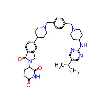 CC(C)c1cnc(NC2CCN(Cc3ccc(CN4CCC(c5ccc6c(c5)CN(C5CCC(=O)NC5=O)C6=O)CC4)cc3)CC2)nc1